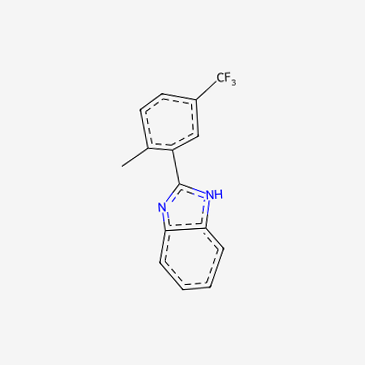 Cc1ccc(C(F)(F)F)cc1-c1nc2ccccc2[nH]1